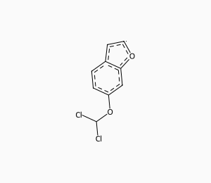 ClC(Cl)Oc1ccc2c[c]oc2c1